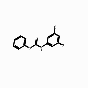 O=C(Nc1cc(F)cc(F)c1)Oc1ccccc1